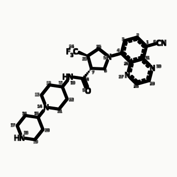 N#Cc1ccc(N2C[C@H](C(=O)NC3CCN(C4CCNCC4)CC3)[C@@H](C(F)(F)F)C2)c2nccnc12